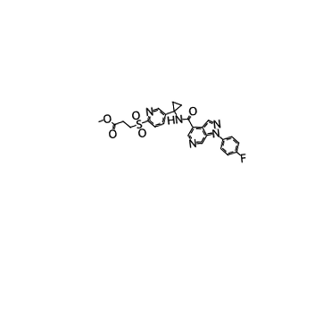 COC(=O)CCS(=O)(=O)c1ccc(C2(NC(=O)c3cncc4c3cnn4-c3ccc(F)cc3)CC2)cn1